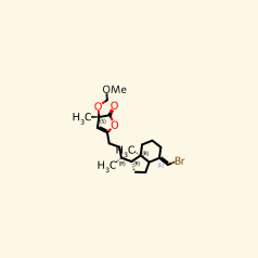 COCO[C@@]1(C)C=C(CC[C@@H](C)[C@H]2CCC3/C(=C/Br)CCC[C@@]32C)OC1=O